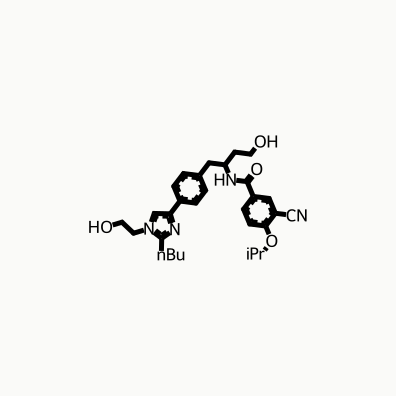 CCCCc1nc(-c2ccc(CC(CCO)NC(=O)c3ccc(OC(C)C)c(C#N)c3)cc2)cn1CCO